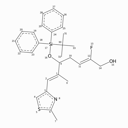 CC(=Cc1csc(C)n1)C(CC=C(F)CO)O[Si](c1ccccc1)(c1ccccc1)C(C)(C)C